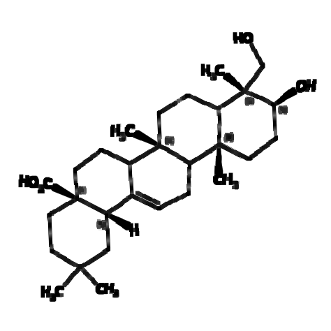 CC1(C)CC[C@]2(C(=O)O)CCC3C(=CCC4[C@@]3(C)CCC3[C@]4(C)CC[C@H](O)[C@@]3(C)CO)[C@@H]2C1